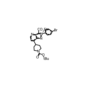 CCOC(=O)c1c2nccc(C3CCN(C(=O)OC(C)(C)C)CC3)c2nn1-c1ccc(Br)cc1